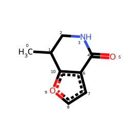 CC1CNC(=O)c2ccoc21